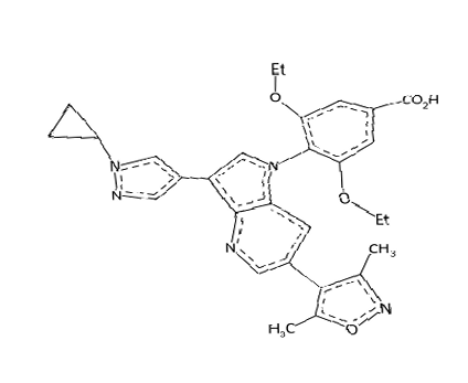 CCOc1cc(C(=O)O)cc(OCC)c1-n1cc(-c2cnn(C3CC3)c2)c2ncc(-c3c(C)noc3C)cc21